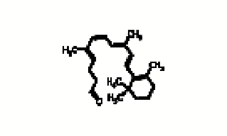 CC(C=CC1=C(C)CCCC1(C)C)=C/C=C\C(C)=CCC[C]=O